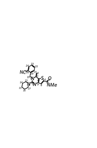 C=C1c2sc(C(=O)NC)cc2N=C(N2CCCCC2)N1Cc1ccccc1C#N